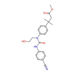 COC(=O)CC(C)(C)c1ccc(N(CCO)C(=O)Nc2ccc(C#N)cc2)cc1